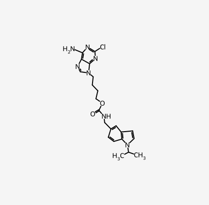 CC(C)n1ccc2cc(CNC(=O)OCCCCn3cnc4c(N)nc(Cl)nc43)ccc21